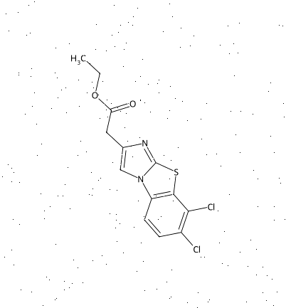 CCOC(=O)Cc1cn2c(n1)sc1c(Cl)c(Cl)ccc12